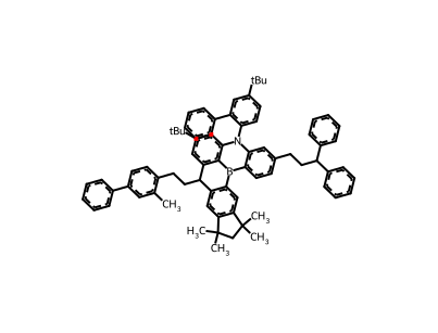 Cc1cc(-c2ccccc2)ccc1CCC1c2cc3c(cc2B2c4ccc(CCC(c5ccccc5)c5ccccc5)cc4N(c4ccc(C(C)(C)C)cc4-c4ccccc4)c4cc(C(C)(C)C)cc1c42)C(C)(C)CC3(C)C